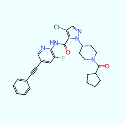 O=C(Nc1ncc(C#Cc2ccccc2)cc1F)c1c(Cl)cnn1C1CCN(C(=O)C2CCCC2)CC1